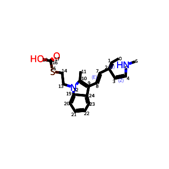 C/C=C(\C=C/NC)/C=C/c1c(C)n(CCSC(=O)O)c2ccccc12